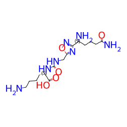 NCCCC[C@H](NC(=O)NCc1nc([C@@H](N)CCCC(N)=O)no1)C(=O)O